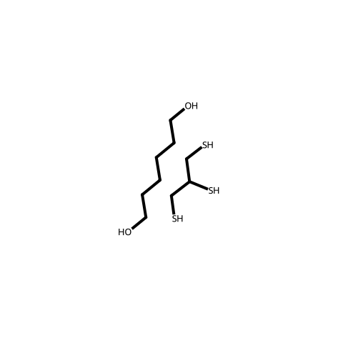 OCCCCCCO.SCC(S)CS